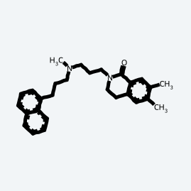 Cc1cc2c(cc1C)C(=O)N(CCCN(C)CCCc1cccc3ccccc13)CC2